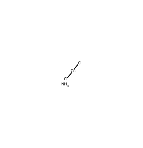 [Cl][Co][Cl].[NH4+]